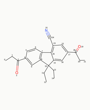 CCC(=O)c1ccc2c(c1)C(CC)(CC)c1cc(C(=O)CC)cc(C#N)c1-2